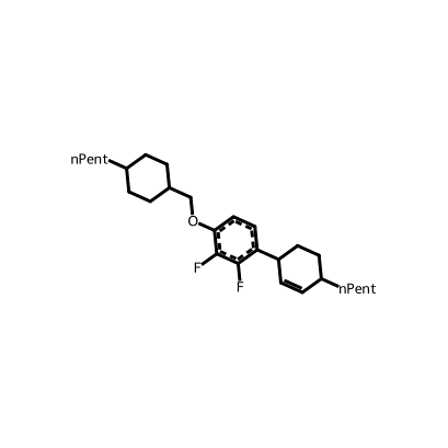 CCCCCC1C=CC(c2ccc(OCC3CCC(CCCCC)CC3)c(F)c2F)CC1